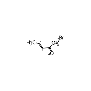 CC=CC(=O)OCBr